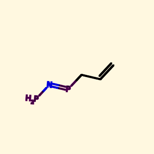 C=CCP=NP